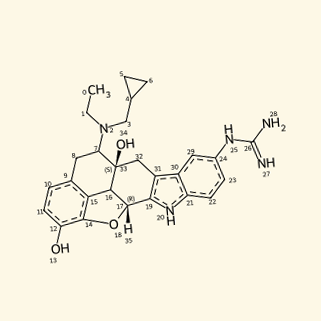 CCN(CC1CC1)C1Cc2ccc(O)c3c2C2[C@@H](O3)c3[nH]c4ccc(NC(=N)N)cc4c3C[C@]21O